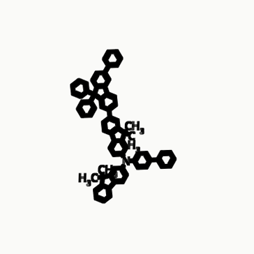 CC1(C)c2ccccc2-c2ccc(N(c3ccc(-c4ccccc4)cc3)c3ccc4c(c3)C(C)(C)c3cc(-c5ccc6c(c5)C(c5ccccc5)(c5ccccc5)c5ccc(-c7ccccc7)cc5-6)ccc3-4)cc21